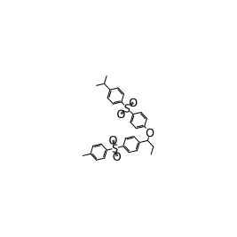 CCC(Oc1ccc(S(=O)(=O)c2ccc(C(C)C)cc2)cc1)c1ccc(S(=O)(=O)c2ccc(C)cc2)cc1